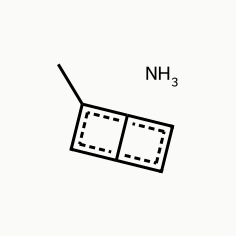 Cc1cc2ccc1-2.N